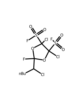 CCCCC(Cl)C1(F)OC(Cl)(S(=O)(=O)F)C(Cl)(S(=O)(=O)F)O1